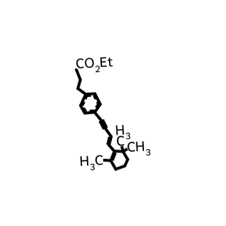 CCOC(=O)CCCc1ccc(C#CC=CC2=C(C)CCCC2(C)C)cc1